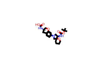 CC(C)(C)OC(=O)NC1CN(c2ccc3c(c2)OC[C@H](NC(=O)O)C3)CC12CCCCO2